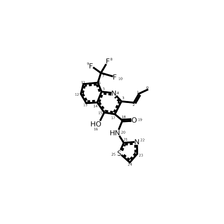 CC=Cc1nc2c(C(F)(F)F)cccc2c(O)c1C(=O)Nc1nccs1